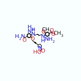 COC(=O)c1cc(N)c(NC/C=C/CNc2c(N)cc(C(N)=O)cc2OCC#CC2CCN(C(=O)O)C2)c(OC)c1